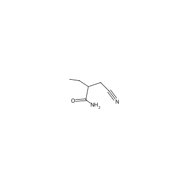 CCC(CC#N)C(N)=O